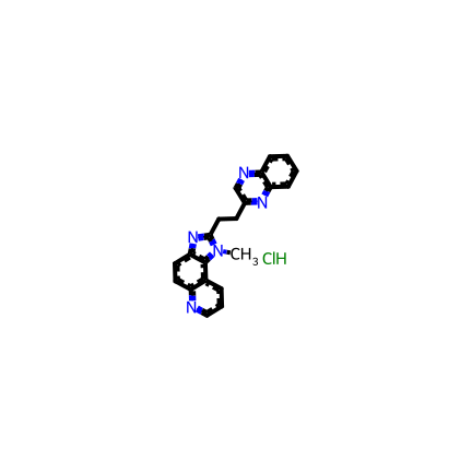 Cl.Cn1c(CCc2cnc3ccccc3n2)nc2ccc3ncccc3c21